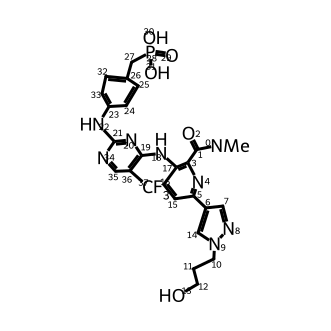 CNC(=O)c1nc(-c2cnn(CCCO)c2)ccc1Nc1nc(Nc2ccc(CP(=O)(O)O)cc2)ncc1C(F)(F)F